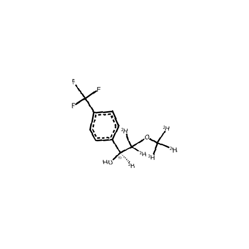 [2H]C([2H])([2H])OC([2H])([2H])[C@@]([2H])(O)c1ccc(C(F)(F)F)cc1